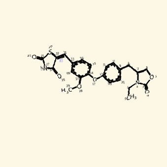 CCN1C(=O)OCC1Cc1ccc(Oc2ccc(/C=C3/SC(=O)NC3=O)cc2OC)cc1